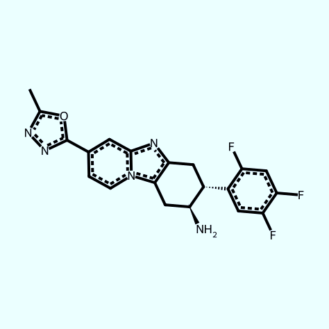 Cc1nnc(-c2ccn3c4c(nc3c2)C[C@H](c2cc(F)c(F)cc2F)[C@@H](N)C4)o1